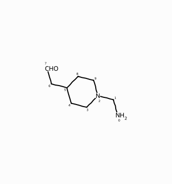 NCN1CCC(CC=O)CC1